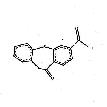 NC(=O)c1ccc2c(c1)Sc1ccccc1CC2=O